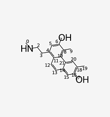 CNCCc1cc(O)c(C)c2c1ccc1cc(O)c(C)cc12